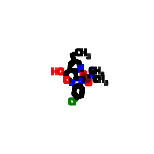 CCc1cnc(-c2nc3cc(Cl)ccc3n2S(=O)(=O)N(C)C)c(C(=O)O)c1